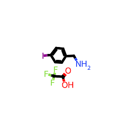 NCc1ccc(I)cc1.O=C(O)C(F)(F)F